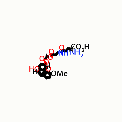 COc1ccc2c3c1O[C@H]1C(OC(=O)[C@H](C)OC(=O)CCNC(=O)CC[C@H](N)C(=O)O)=CC[C@@]4(O)[C@H](CCC[C@]314)C2